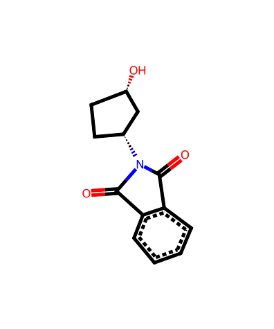 O=C1c2ccccc2C(=O)N1[C@@H]1CC[C@H](O)C1